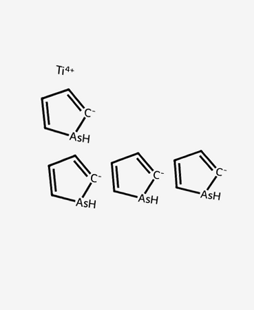 [C-]1=CC=C[AsH]1.[C-]1=CC=C[AsH]1.[C-]1=CC=C[AsH]1.[C-]1=CC=C[AsH]1.[Ti+4]